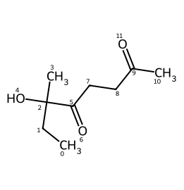 CCC(C)(O)C(=O)CCC(C)=O